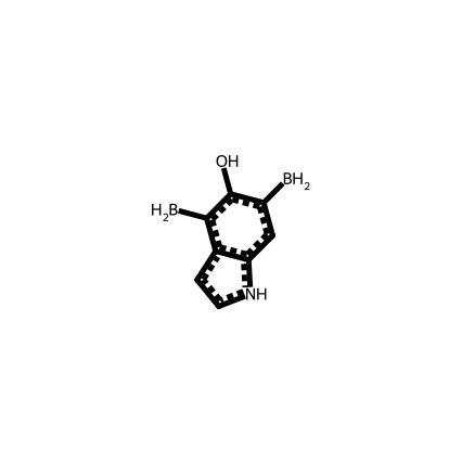 Bc1cc2[nH]ccc2c(B)c1O